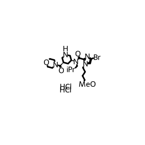 COCCCCn1cc(Br)nc1C(=O)N(CC(C)C)[C@@H]1CNC[C@H](C(=O)N2CCOCC2)C1.Cl.Cl